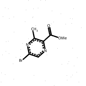 COC(=O)c1ncc(Br)nc1C